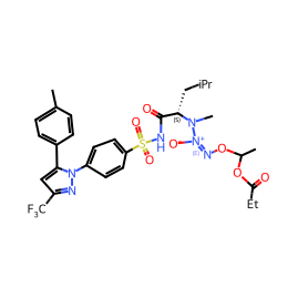 CCC(=O)OC(C)O/N=[N+](/[O-])N(C)[C@@H](CC(C)C)C(=O)NS(=O)(=O)c1ccc(-n2nc(C(F)(F)F)cc2-c2ccc(C)cc2)cc1